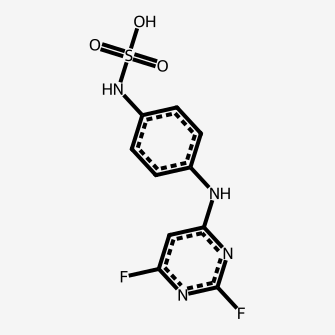 O=S(=O)(O)Nc1ccc(Nc2cc(F)nc(F)n2)cc1